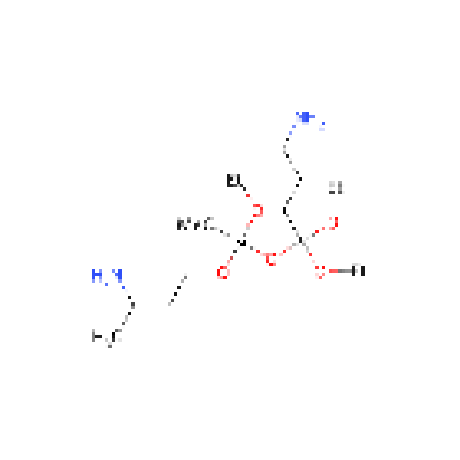 CCOC(CCCN)(OCC)O[Si](OC)(OCC)OCCC(C)N